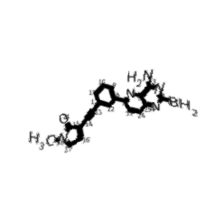 Bc1nc(N)c2nc(-c3cccc(C#CC4=CCN(C)C4=O)c3)ccc2n1